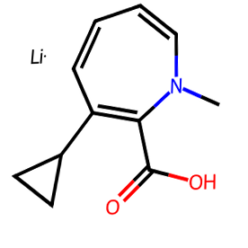 CN1C=CC=CC(C2CC2)=C1C(=O)O.[Li]